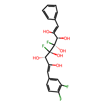 OC(=Cc1ccccc1)[C@@H](O)[C@](O)(F)[C@@](O)(F)[C@@H](O)C(O)=Cc1ccc(F)c(F)c1